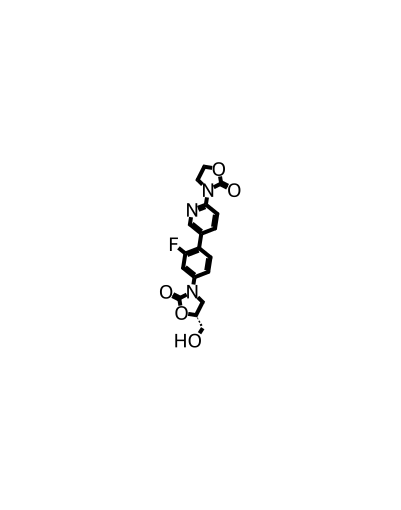 O=C1O[C@@H](CO)CN1c1ccc(-c2ccc(N3CCOC3=O)nc2)c(F)c1